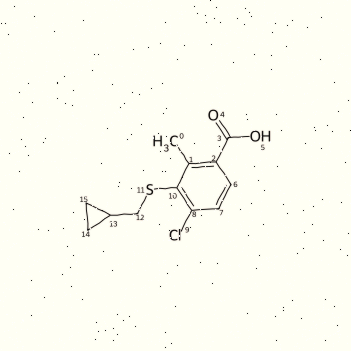 Cc1c(C(=O)O)ccc(Cl)c1SCC1CC1